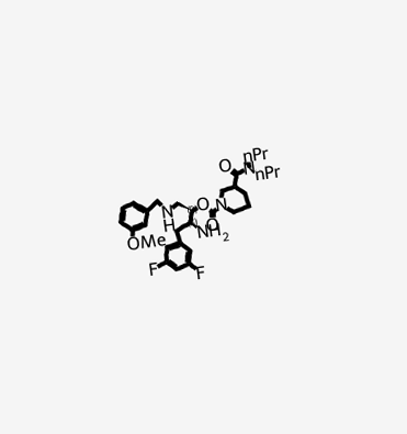 CCCN(CCC)C(=O)C1CCCN(C(=O)O[C@H](CNCc2cccc(OC)c2)[C@@H](N)Cc2cc(F)cc(F)c2)C1